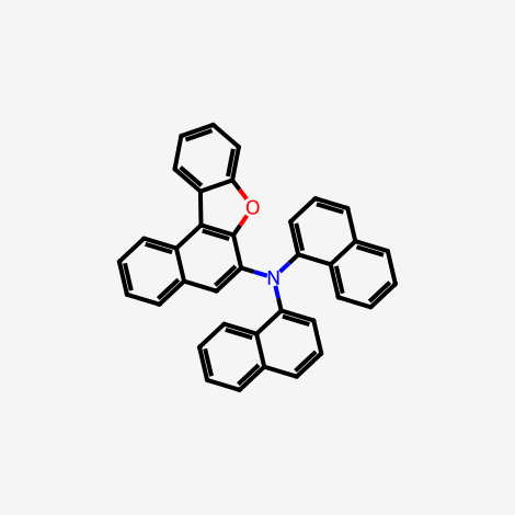 c1ccc2c(N(c3cccc4ccccc34)c3cc4ccccc4c4c3oc3ccccc34)cccc2c1